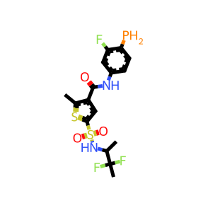 Cc1sc(S(=O)(=O)NC(C)C(C)(F)F)cc1C(=O)Nc1ccc(P)c(F)c1